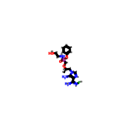 C[C@H](Cn1cnc(/C(N)=N\F)c1N)OCP(=O)(NCCO)Oc1ccccc1